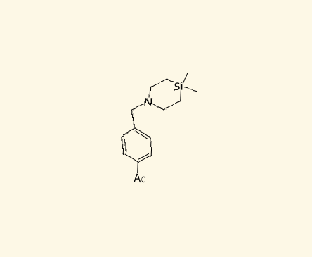 CC(=O)c1ccc(CN2CC[Si](C)(C)CC2)cc1